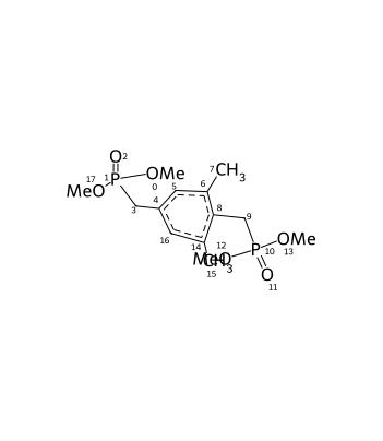 COP(=O)(Cc1cc(C)c(CP(=O)(OC)OC)c(C)c1)OC